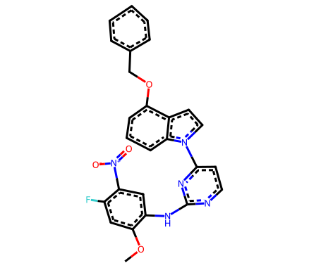 COc1cc(F)c([N+](=O)[O-])cc1Nc1nccc(-n2ccc3c(OCc4ccccc4)cccc32)n1